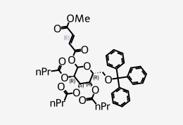 CCCC(=O)O[C@H]1[C@H](OC(=O)CCC)[C@@H](OC(=O)CCC)C(OC(=O)/C=C/C(=O)OC)O[C@@H]1COC(c1ccccc1)(c1ccccc1)c1ccccc1